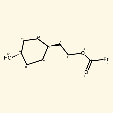 CCC(=O)OCC[C@H]1CC[C@H](O)CC1